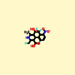 CC1=C(C(=O)O)C(c2c(F)ccc([N+](=O)[O-])c2C(F)(F)F)C(C(=O)O)=C(CF)N1